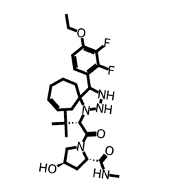 CCOc1ccc(C2NNN([C@H](C(=O)N3C[C@H](O)C[C@H]3C(=O)NC)C(C)(C)C)C23CC=CCCC3)c(F)c1F